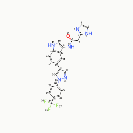 O=C(Cc1ncc[nH]1)Nc1c[nH]c2ccc(-c3cnn(-c4ccc(C(F)(F)F)cc4)c3)cc12